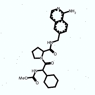 COC(=O)NC(C(=O)N1CCCC1C(=O)NCc1ccc2c(N)nccc2c1)C1CCCCC1